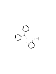 [SiH3]c1ccccc1OCC(c1ccccc1)c1ccccc1